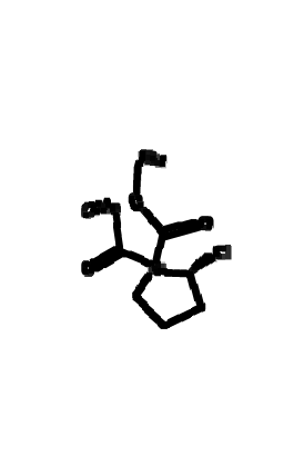 COC(=O)[N+]1(C(=O)OC(C)(C)C)CCC[C@@H]1Cl